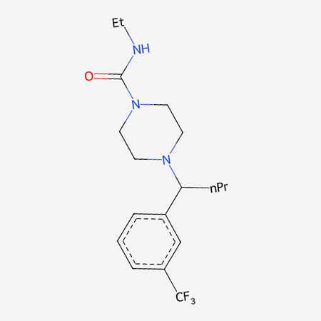 CCCC(c1cccc(C(F)(F)F)c1)N1CCN(C(=O)NCC)CC1